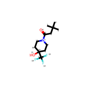 CC(C)(C)[CH]C(=O)N1CCC(O)(C(F)(F)F)CC1